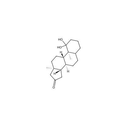 C[C@]12CC[C@H]3[C@@H](CCC4CCCC(O)(O)[C@@]43C)[C@@H]1CC(=O)C2